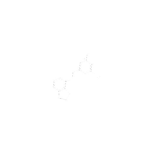 FC(F)(F)c1cc(COc2cccc3c2CCN3)cc(C(F)(F)F)c1